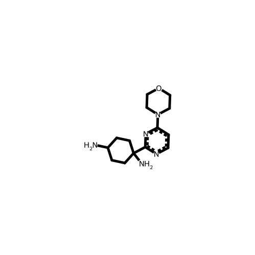 NC1CCC(N)(c2nccc(N3CCOCC3)n2)CC1